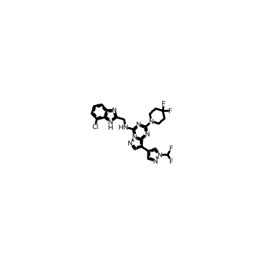 FC(F)n1cc(-c2cnn3c(NCc4nc5cccc(Cl)c5[nH]4)nc(N4CCC(F)(F)CC4)nc23)cn1